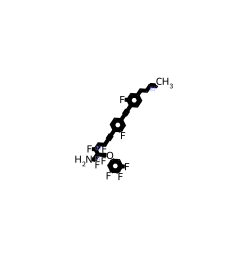 C/C=C/CCc1ccc(C#Cc2ccc(C#CC/C=C(F)\C(=C(/N)F)C(F)(F)Oc3cc(F)c(F)c(F)c3)c(F)c2)c(F)c1